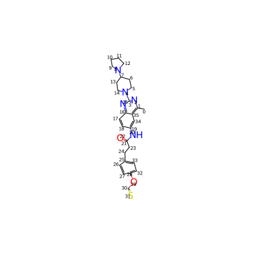 Cc1nc(N2CCC(N3CCCC3)CC2)nc2ccc(NC(=O)CCc3ccc(OC=S)cc3)cc12